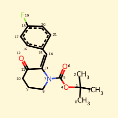 CC(C)(C)OC(=O)N1CCCC(=O)C1=Cc1ccc(F)cc1